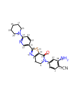 N#Cc1ccc(N2CCc3nc(-c4ccc(N5CCCCC5)nc4)sc3C2=O)cc1N